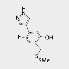 CSSCc1cc(F)c(-c2cn[nH]c2)cc1O